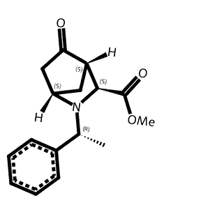 COC(=O)[C@@H]1[C@@H]2C[C@@H](CC2=O)N1[C@H](C)c1ccccc1